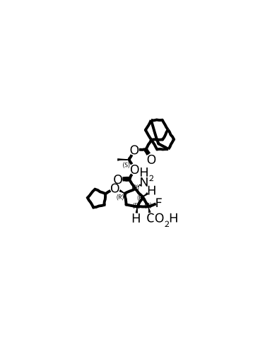 C[C@@H](OC(=O)C12CC3CC(CC(C3)C1)C2)OC(=O)[C@@]1(N)[C@H]2[C@@H](C[C@H]1OC1CCCC1)[C@]2(F)C(=O)O